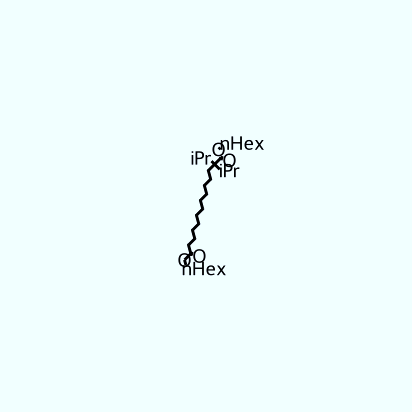 CCCCCCOC(=O)CCCCCCCCCCCC(C(=O)OCCCCCC)(C(C)C)C(C)C